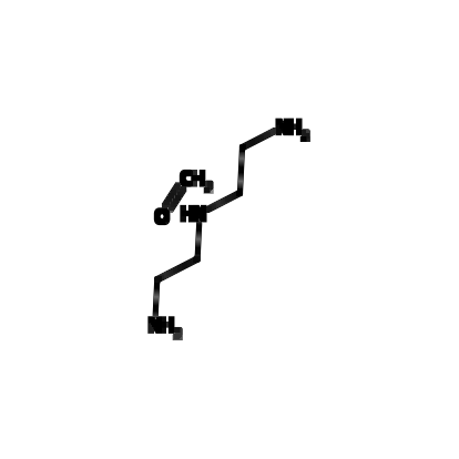 C=O.NCCNCCN